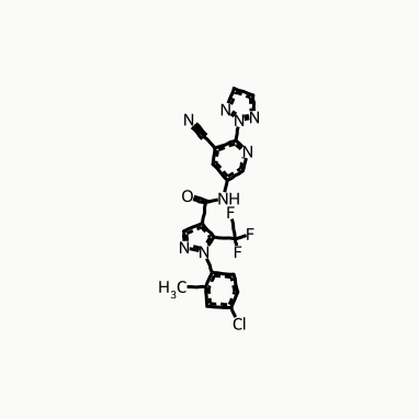 Cc1cc(Cl)ccc1-n1ncc(C(=O)Nc2cnc(-n3nccn3)c(C#N)c2)c1C(F)(F)F